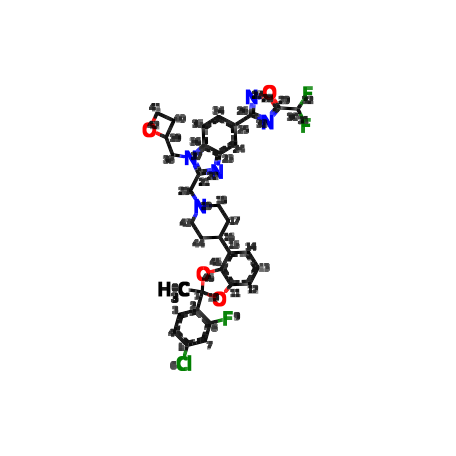 CC1(c2ccc(Cl)cc2F)Oc2cccc(C3CCN(Cc4nc5cc(-c6noc(C(F)F)n6)ccc5n4CC4CCO4)CC3)c2O1